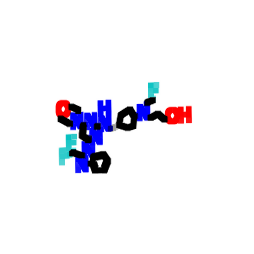 OCCCN(CCF)[C@H]1CC[C@H](CNc2nc(N3CCOCC3)cc(-n3c(C(F)F)nc4ccccc43)n2)CC1